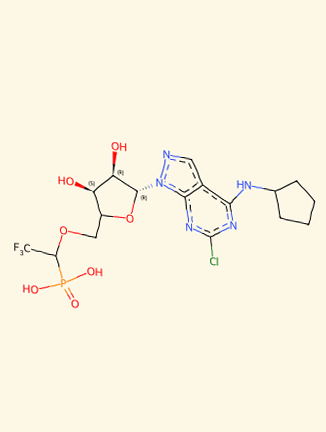 O=P(O)(O)C(OCC1O[C@@H](n2ncc3c(NC4CCCC4)nc(Cl)nc32)[C@H](O)[C@@H]1O)C(F)(F)F